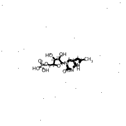 Cc1cc2cn(C3OC(COP(=O)(O)O)C(O)C3O)c(=O)nc2[nH]1